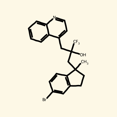 CC1(CC(O)(Cc2ccnc3ccccc23)C(F)(F)F)CCc2cc(Br)ccc21